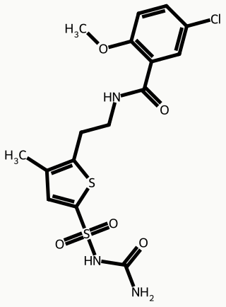 COc1ccc(Cl)cc1C(=O)NCCc1sc(S(=O)(=O)NC(N)=O)cc1C